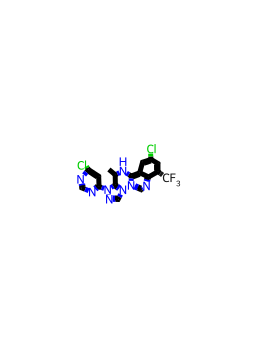 CC(Nc1ncnc2c(C(F)(F)F)cc(Cl)cc12)c1ncnn1-c1cc(Cl)ncn1